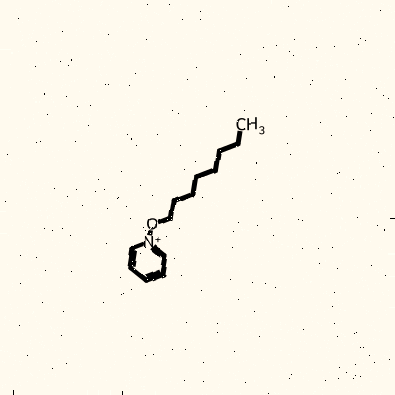 CCCCCCCCO[n+]1ccccc1